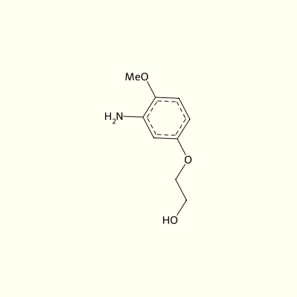 COc1ccc(OCCO)cc1N